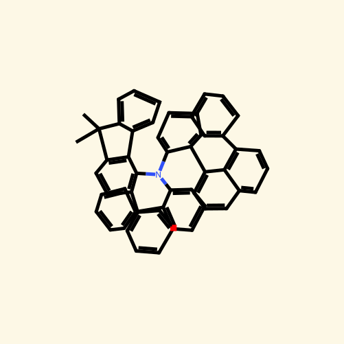 CC1(C)c2ccccc2-c2c1ccc(-c1ccccc1)c2N(c1ccccc1-c1ccccc1)c1ccccc1-c1cccc2cccc(-c3ccccc3)c12